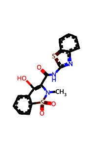 CN1C(C(=O)Nc2nc3ccccc3s2)=C(O)c2ccccc2S1(=O)=O